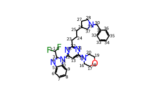 FC(F)c1nc2ccccc2n1-c1cc(N2CCOCC2)nc(CCC[C@H]2CCN(Cc3ccccc3)C2)n1